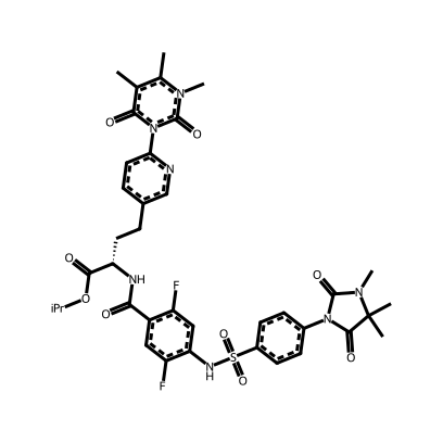 Cc1c(C)n(C)c(=O)n(-c2ccc(CC[C@H](NC(=O)c3cc(F)c(NS(=O)(=O)c4ccc(N5C(=O)N(C)C(C)(C)C5=O)cc4)cc3F)C(=O)OC(C)C)cn2)c1=O